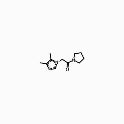 Cc1sc[n+](CC(=O)N2CCCC2)c1C